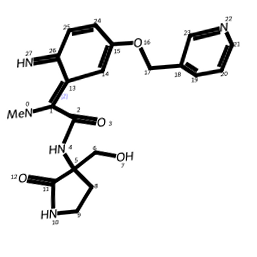 CN/C(C(=O)NC1(CO)CCNC1=O)=C1/C=C(OCc2cccnc2)C=CC1=N